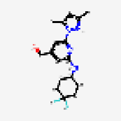 Cc1cc(C)n(-c2cc(C=O)cc(NC3CCC(F)(F)CC3)n2)n1